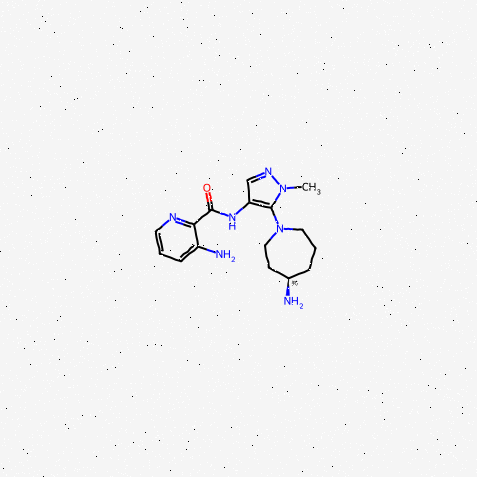 Cn1ncc(NC(=O)c2ncccc2N)c1N1CCC[C@@H](N)CC1